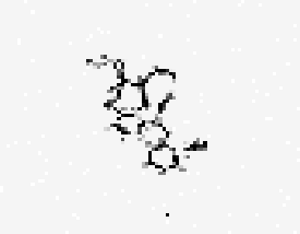 COC(=O)c1cccc2c1c1c(O)cccc1n2Cc1ccccc1C#N